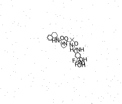 CC(C)(C)C(NC(=O)c1cc2cc(C(F)(F)P(=O)(O)O)ccc2[nH]1)C(=O)N1CCC[C@H]1C(=O)N[C@H]1CCCc2ccccc21